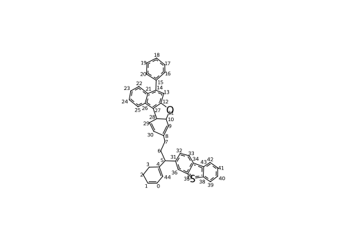 C1=CCCC(C(CCC2=CC3Oc4cc(-c5ccccc5)c5ccccc5c4C3C=C2)c2ccc3c(c2)sc2ccccc23)=C1